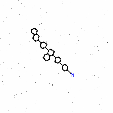 N#Cc1ccc(-c2ccc(-c3ccc(-c4ccc(-c5ccc6ccccc6c5)cc4)c4ccccc34)cc2)cc1